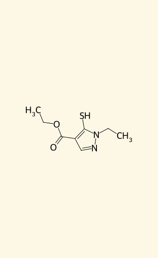 CCOC(=O)c1cnn(CC)c1S